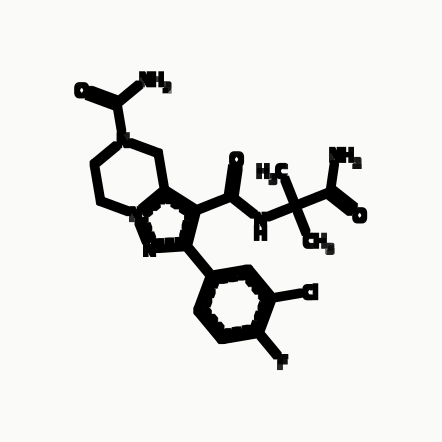 CC(C)(NC(=O)c1c(-c2ccc(F)c(Cl)c2)nn2c1CN(C(N)=O)CC2)C(N)=O